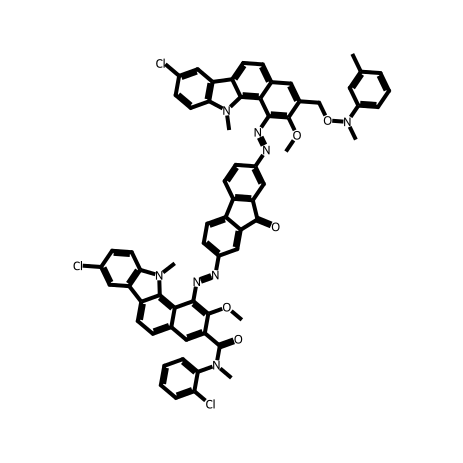 COc1c(CON(C)c2cccc(C)c2)cc2ccc3c4cc(Cl)ccc4n(C)c3c2c1N=Nc1ccc2c(c1)C(=O)c1cc(N=Nc3c(OC)c(C(=O)N(C)c4ccccc4Cl)cc4ccc5c6cc(Cl)ccc6n(C)c5c34)ccc1-2